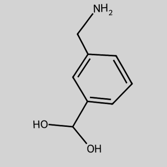 NCc1cccc(C(O)O)c1